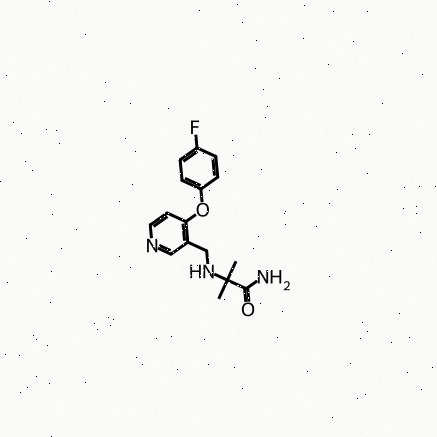 CC(C)(NCc1cnccc1Oc1ccc(F)cc1)C(N)=O